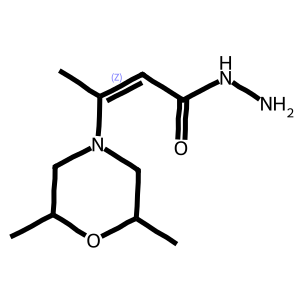 C/C(=C/C(=O)NN)N1CC(C)OC(C)C1